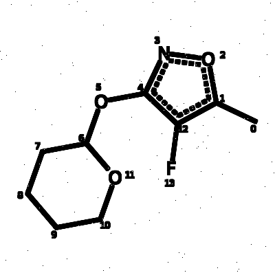 Cc1onc(OC2CCCCO2)c1F